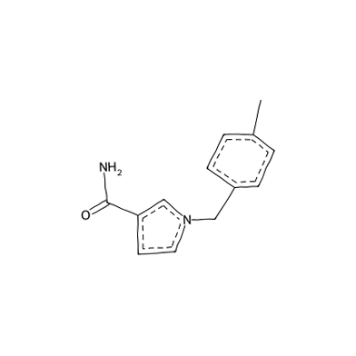 Cc1ccc(Cn2ccc(C(N)=O)c2)cc1